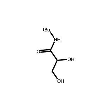 CC(C)(C)NC(=O)C(O)CO